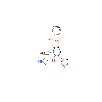 O=C(O)c1c(CS(=O)(=O)c2ccccc2)ccc(-c2ccoc2)c1OC1CNC1